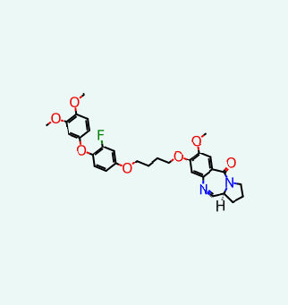 COc1ccc(Oc2ccc(OCCCCOc3cc4c(cc3OC)C(=O)N3CCC[C@H]3C=N4)cc2F)cc1OC